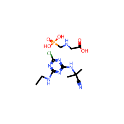 CCNc1nc(Cl)nc(NC(C)(C)C#N)n1.O=C(O)CNCP(=O)(O)O